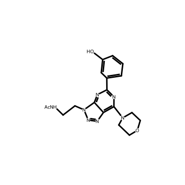 CC(=O)NCCn1nnc2c(N3CCOCC3)nc(-c3cccc(O)c3)nc21